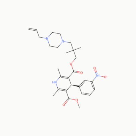 C=CCN1CCN(CC(C)(C)COC(=O)C2=C(C)NC(C)=C(C(=O)OC)[C@@H]2c2cccc([N+](=O)[O-])c2)CC1